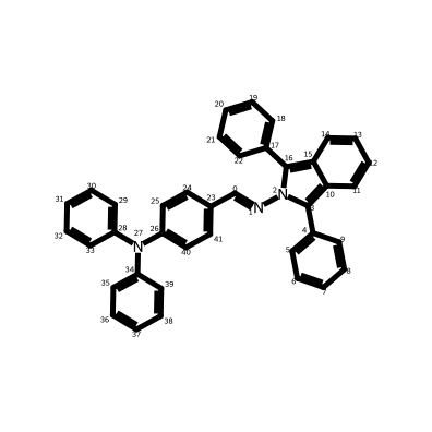 C(=Nn1c(-c2ccccc2)c2ccccc2c1-c1ccccc1)c1ccc(N(c2ccccc2)c2ccccc2)cc1